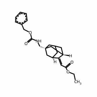 CCOC(=O)/C=C1/[C@@H]2CC3C[C@H]1C[C@](CNC(=O)OCc1ccccc1)(C3)C2